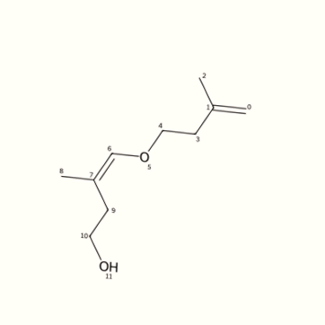 C=C(C)CCOC=C(C)CCO